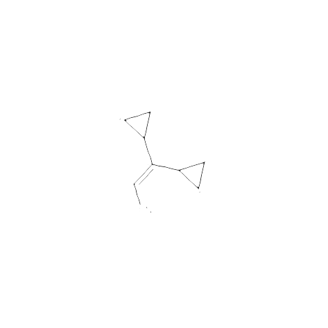 N#CC=C(C1CC1)C1CC1